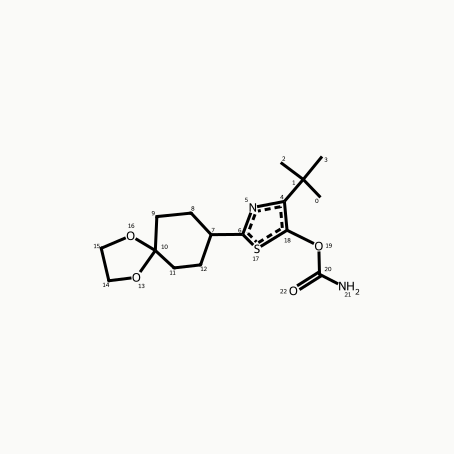 CC(C)(C)c1nc(C2CCC3(CC2)OCCO3)sc1OC(N)=O